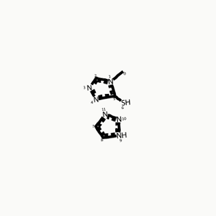 Cn1cnnc1S.c1c[nH]nn1